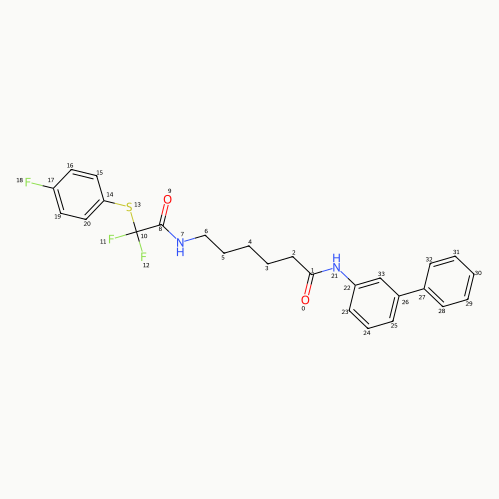 O=C(CCCCCNC(=O)C(F)(F)Sc1ccc(F)cc1)Nc1cccc(-c2ccccc2)c1